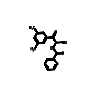 Cc1cc(C)cc(C(=O)N(NC(=O)c2ccccn2)C(C)(C)C)c1